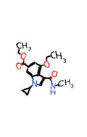 CCOC(=O)c1cc(OCC)c2c(C(=O)NC)cn(C3CC3)c2c1